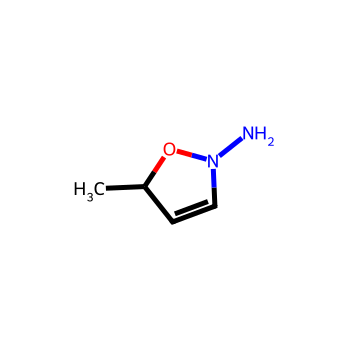 CC1C=CN(N)O1